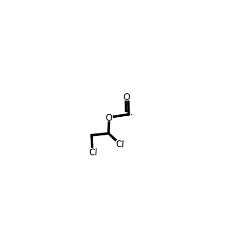 O=[C]OC(Cl)CCl